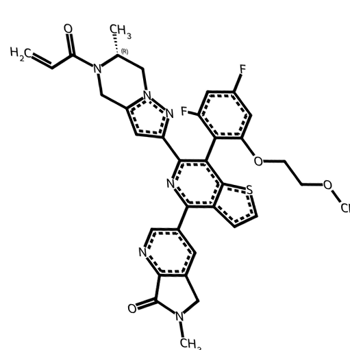 C=CC(=O)N1Cc2cc(-c3nc(-c4cnc5c(c4)CN(C)C5=O)c4ccsc4c3-c3c(F)cc(F)cc3OCCOC)nn2C[C@H]1C